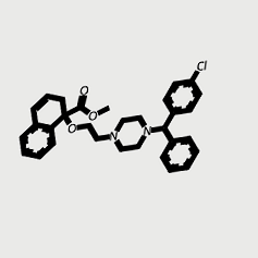 COC(=O)C1(OCCN2CCN(C(c3ccccc3)c3ccc(Cl)cc3)CC2)CC=Cc2ccccc21